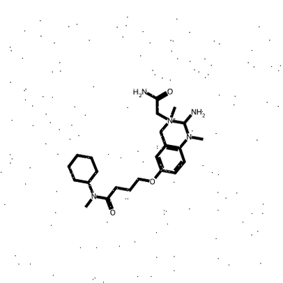 CN(C(=O)CCCOc1ccc2c(c1)C[N+](C)(CC(N)=O)C(N)N2C)C1CCCCC1